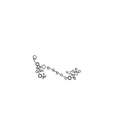 C=C1c2cc(OCCOCCOCCOCCOC[C@H]3CC[C@@H](n4c(NC(=O)c5cccc(C(F)(F)F)c5)nc5cc(CN6CCCCC6)ccc54)CC3)ccc2C(=O)N1C1CCC(=O)NC1=O